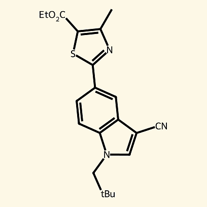 CCOC(=O)c1sc(-c2ccc3c(c2)c(C#N)cn3CC(C)(C)C)nc1C